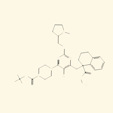 COC(=O)C1(Cc2nc(OCC3CCCN3C)nc(N3CCN(C(=O)OC(C)(C)C)CC3)c2N)CCCc2ccccc21